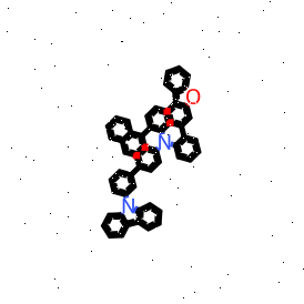 c1cc(-c2ccc(N(c3ccccc3-c3ccc4c(c3)oc3ccccc34)c3ccccc3-c3cccc4ccccc34)cc2)cc(-n2c3ccccc3c3ccccc32)c1